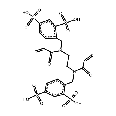 C=CC(=O)N(CCN(Cc1ccc(S(=O)(=O)O)cc1S(=O)(=O)O)C(=O)C=C)Cc1ccc(S(=O)(=O)O)cc1S(=O)(=O)O